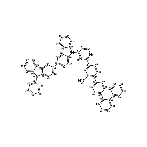 Cc1cc(-c2nccc(-n3c4ccccc4c4cc(-c5ccc6c(c5)c5ccccc5n6-c5ccccc5)ccc43)n2)ccc1-c1ccc2c3ccccc3c3ccccc3c2c1